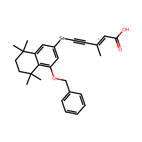 C/C(C#C[Se]c1cc(OCc2ccccc2)c2c(c1)C(C)(C)CCC2(C)C)=C\C(=O)O